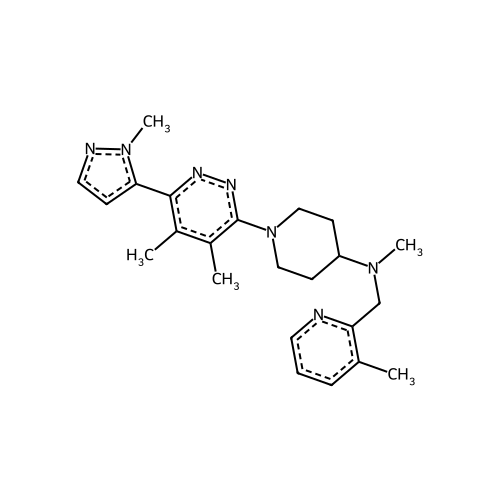 Cc1cccnc1CN(C)C1CCN(c2nnc(-c3ccnn3C)c(C)c2C)CC1